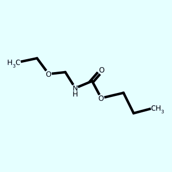 CCCOC(=O)NCOCC